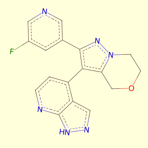 Fc1cncc(-c2nn3c(c2-c2ccnc4[nH]ncc24)COCC3)c1